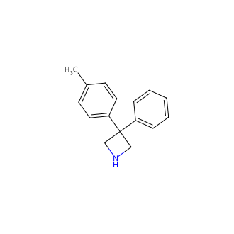 Cc1ccc(C2(c3ccccc3)CNC2)cc1